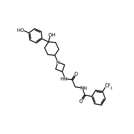 O=C(CNC(=O)c1cccc(C(F)(F)F)c1)NC1CN(C2CCC(O)(c3ccc(O)cc3)CC2)C1